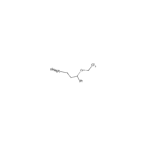 CCCCCCCCCC(OCC(F)(F)F)C(C)C